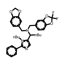 CCCCC(c1cnc(-c2ccccc2)n1CCCC)N(Cc1ccc2c(c1)OCO2)Cc1ccc2c(c1)OC(F)(F)O2